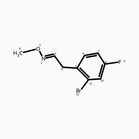 CON=CCc1ccc(F)cc1Br